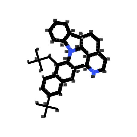 CC(C)(C)Cc1c2ccc(C(C)(C)C)cc2cc2c3nccc4ccc5c6ccccc6n(c12)c5c43